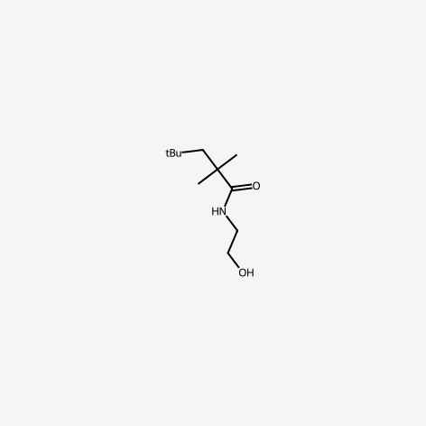 CC(C)(C)CC(C)(C)C(=O)NCCO